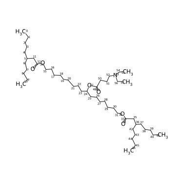 CCCCCC(CCCCC)CC(=O)OCCCCCCCCCC(CCCCCCCOC(=O)CC(CCCCC)CCCCC)OC(=O)CCCN(CC)CC